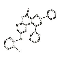 O=c1oc2ccc(Nc3ccccc3Cl)cc2c2c(-c3ccccc3)cc(-c3ccccc3)nc12